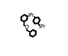 CC(C)c1ccc(C(C)C)cc1.c1ccc(COCc2ccccc2)cc1